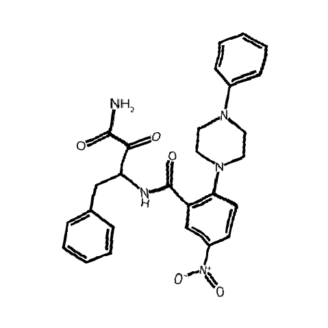 NC(=O)C(=O)C(Cc1ccccc1)NC(=O)c1cc([N+](=O)[O-])ccc1N1CCN(c2ccccc2)CC1